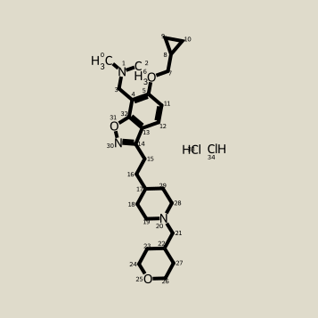 CN(C)Cc1c(OCC2CC2)ccc2c(CCC3CCN(CC4CCOCC4)CC3)noc12.Cl.Cl